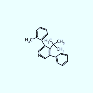 Cc1ccccc1-c1cncc(-c2ccccc2)c1C(C)(C)C